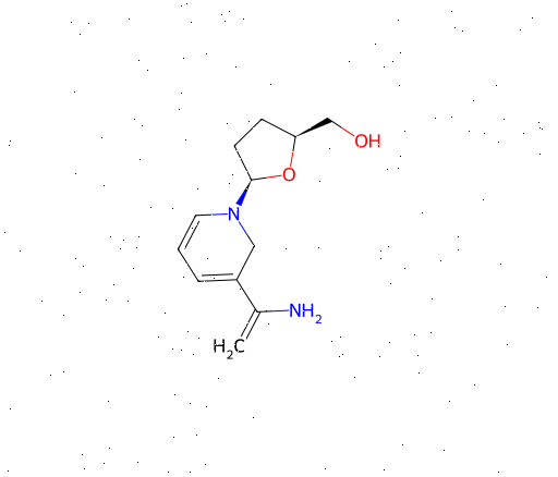 C=C(N)C1=CC=CN([C@H]2CC[C@@H](CO)O2)C1